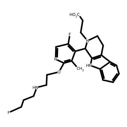 Cc1c(OCCNCCCF)ncc(F)c1C1c2[nH]c3ccccc3c2CCN1CCC(=O)O